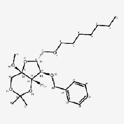 CCCCCCCOC[C@H]1O[C@@]2(OC)COC(C)(C)O[C@H]2[C@@H]1OCc1ccccc1